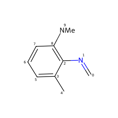 C=Nc1c(C)cccc1NC